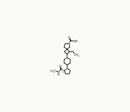 CCC1C(N2CCC(N3CCC[C@H]3C(=O)NC)CC2)CC12CCN(C(=O)O)C2